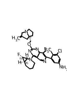 C=C1CN2CCC[C@@]2(COc2nc(N3CCCC[C@H]4[C@H](F)[C@H]43)c3cnc(-c4cc(N)cc(Cl)c4C(F)(F)F)c(F)c3n2)C1